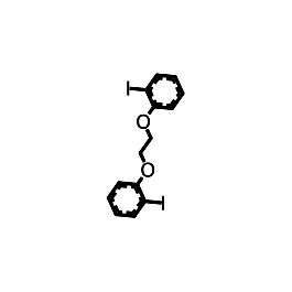 Ic1ccccc1OCCOc1ccccc1I